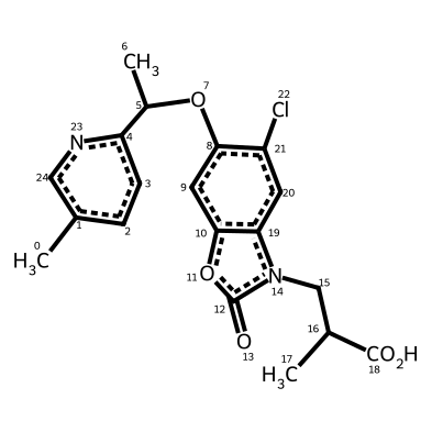 Cc1ccc(C(C)Oc2cc3oc(=O)n(CC(C)C(=O)O)c3cc2Cl)nc1